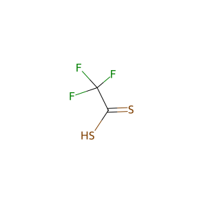 FC(F)(F)C(=S)S